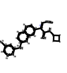 CN/C=C(\C(=N)NC1CCC1)c1cnc2ccc(Nc3cc(C(C)C)cnn3)nc2c1